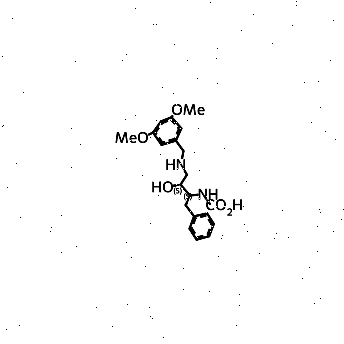 COc1cc(CNC[C@H](O)[C@H](Cc2ccccc2)NC(=O)O)cc(OC)c1